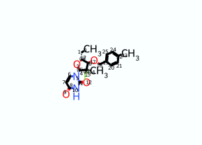 CC[C@H]1O[C@@H](n2ccc(=O)[nH]c2=O)[C@](C)(F)C1OCc1ccc(C)cc1